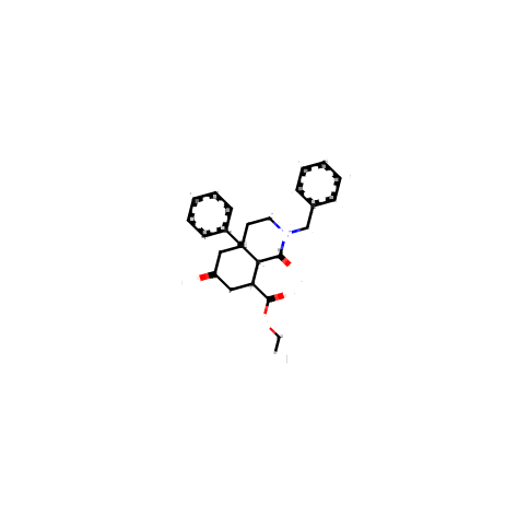 CCOC(=O)C1CC(=O)CC2(c3ccccc3)CCN(Cc3ccccc3)C(=O)C12